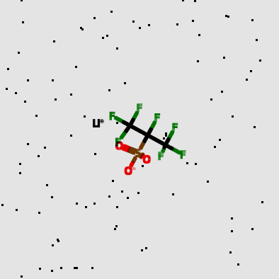 O=S(=O)([O-])C(F)(C(F)(F)F)C(F)(F)F.[Li+]